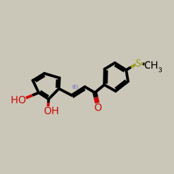 CSc1ccc(C(=O)/C=C/c2cccc(O)c2O)cc1